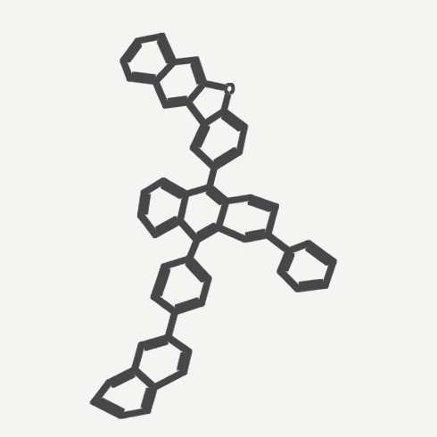 c1ccc(-c2ccc3c(-c4ccc5oc6cc7ccccc7cc6c5c4)c4ccccc4c(-c4ccc(-c5ccc6ccccc6c5)cc4)c3c2)cc1